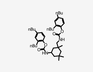 CCCCc1ccc(OC(=O)NCC2(C)CC(NC(=O)Oc3ccc(CCCC)cc3CCCC)CC(C)(C)C2)c(CCCC)c1